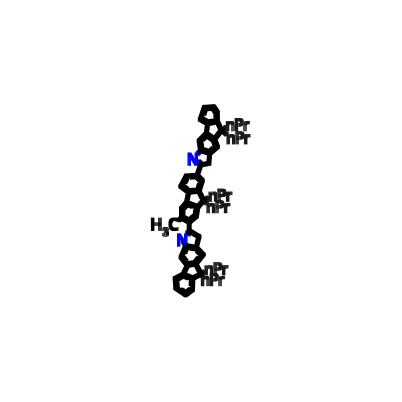 CCCC1(CCC)c2ccccc2-c2cc3c(cc21)CC(c1ccc2c(c1)C(CCC)(CCC)c1cc(C4=Nc5cc6c(cc5C4)C(CCC)(CCC)c4ccccc4-6)c(C)cc1-2)=N3